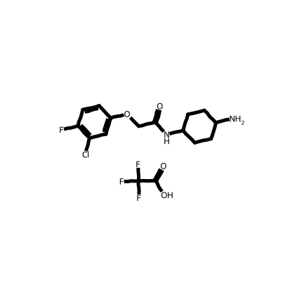 NC1CCC(NC(=O)COc2ccc(F)c(Cl)c2)CC1.O=C(O)C(F)(F)F